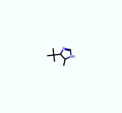 CC1NC=NC1C(C)(C)C